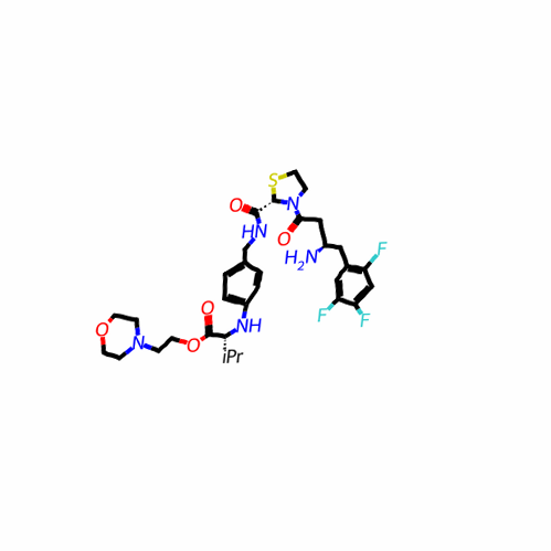 CC(C)[C@@H](Nc1ccc(CNC(=O)[C@@H]2SCCN2C(=O)C[C@H](N)Cc2cc(F)c(F)cc2F)cc1)C(=O)OCCN1CCOCC1